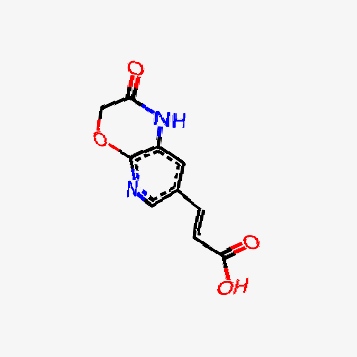 O=C(O)C=Cc1cnc2c(c1)NC(=O)CO2